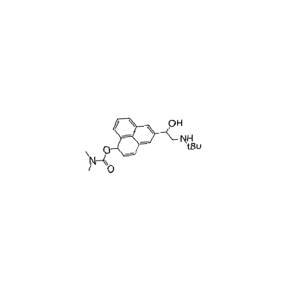 CN(C)C(=O)OC1C=Cc2cc(C(O)CNC(C)(C)C)cc3cccc1c23